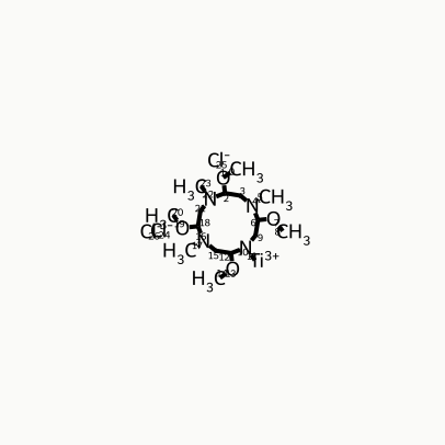 COC1CN(C)C(OC)C[N]([Ti+3])C(OC)CN(C)C(OC)CN1C.[Cl-].[Cl-].[Cl-]